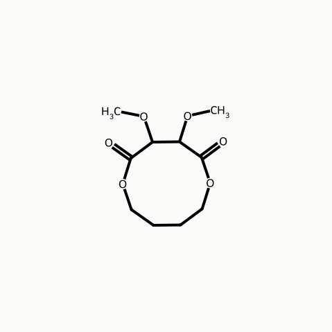 COC1C(=O)OCCCCOC(=O)C1OC